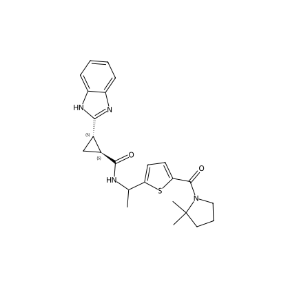 CC(NC(=O)[C@H]1C[C@@H]1c1nc2ccccc2[nH]1)c1ccc(C(=O)N2CCCC2(C)C)s1